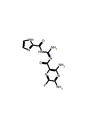 N/C(=N/C(=O)c1nc(F)c(N)nc1N)NC(=O)c1ncc[nH]1